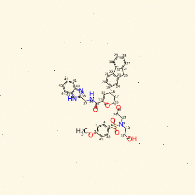 COc1ccc(S(=O)(=O)N(CCO)CCOC2C[C@@H](c3ccc4c(c3)Cc3ccccc3-4)C=C(C(=O)NCc3nc4ccccc4[nH]3)O2)cc1